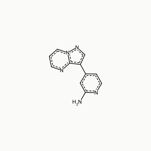 Nc1cc(-c2cnn3cccnc23)ccn1